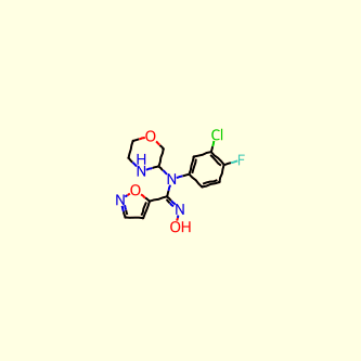 ON=C(c1ccno1)N(c1ccc(F)c(Cl)c1)C1COCCN1